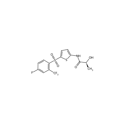 C[C@H](O)C(=O)Nc1ccc(S(=O)(=O)c2ccc(F)cc2C(F)(F)F)s1